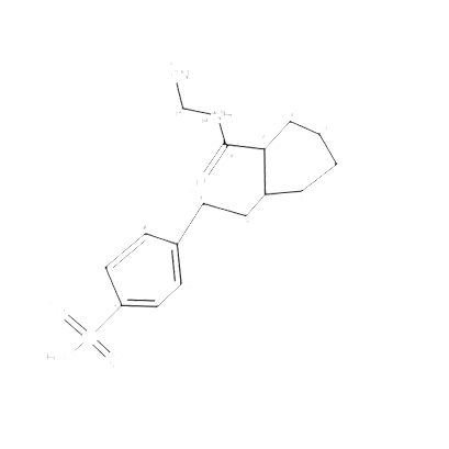 CS(=O)(=O)c1ccc(CCC2CCCCC2C(=O)NCC#N)cc1